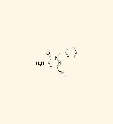 Cc1cc(N)c(=O)n(Cc2ccccc2)n1